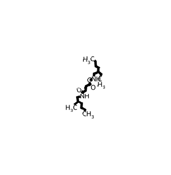 CCCCC(CC)CNOC(=O)CCC(=O)NCC(CC)CCCC